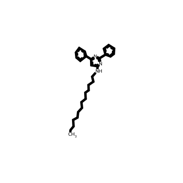 CCCCCCCCCCCCCCNc1cc(-c2ccccc2)nc(-c2ccccc2)n1